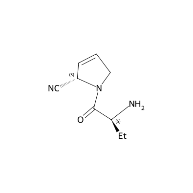 CC[C@H](N)C(=O)N1CC=C[C@H]1C#N